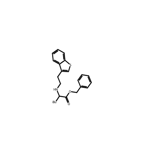 CCC(C)C(NCCc1csc2ccccc12)C(=O)OCc1ccccc1